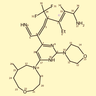 CC/C(C(=C=C(C=N)C1=NC(N2CCOCC2)NC(N2CCCOCCC(C)C2)=C1)C(C)(F)F)=C(/C)C(C)N